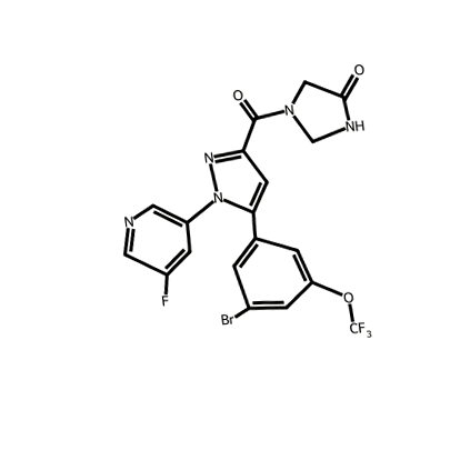 O=C1CN(C(=O)c2cc(-c3cc(Br)cc(OC(F)(F)F)c3)n(-c3cncc(F)c3)n2)CN1